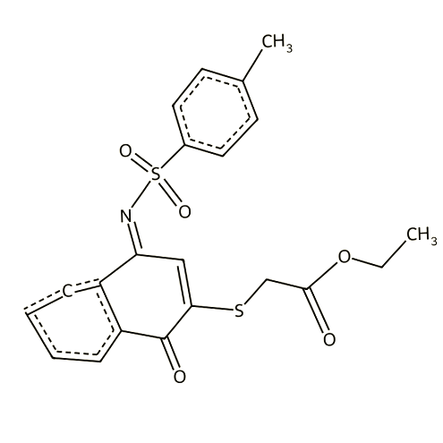 CCOC(=O)CSC1=CC(=NS(=O)(=O)c2ccc(C)cc2)c2ccccc2C1=O